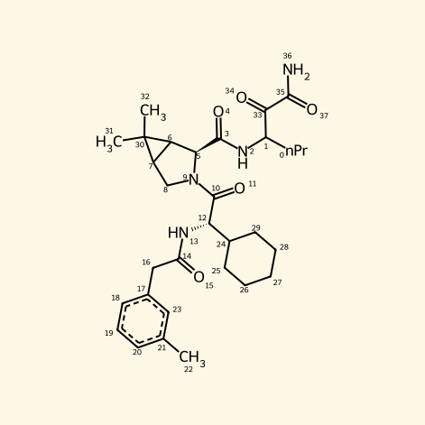 CCCC(NC(=O)[C@@H]1C2C(CN1C(=O)[C@@H](NC(=O)Cc1cccc(C)c1)C1CCCCC1)C2(C)C)C(=O)C(N)=O